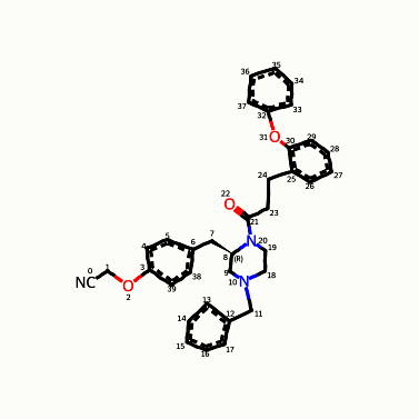 N#CCOc1ccc(C[C@@H]2CN(Cc3ccccc3)CCN2C(=O)CCc2ccccc2Oc2ccccc2)cc1